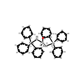 C[Si](C)(N[Si](c1ccccc1)(c1ccccc1)c1ccccc1)N[Si](c1ccccc1)(c1ccccc1)c1ccccc1